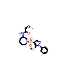 C=CC(=O)NC1CCCCN(S(=O)(=O)c2cnn(-c3ccccc3)c2C)C1